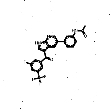 CC(=O)Nc1cccc(-c2cnc3[nH]cc(C(=O)c4cc(F)cc(C(F)(F)F)c4)c3c2)c1